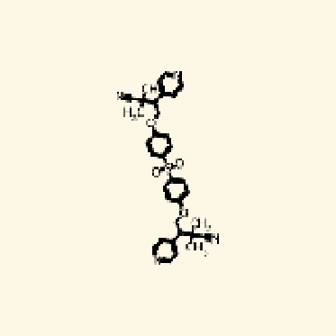 CC(C)(C#N)C(COc1ccc(S(=O)(=O)c2ccc(OCC(c3ccncc3)C(C)(C)C#N)cc2)cc1)c1ccncc1